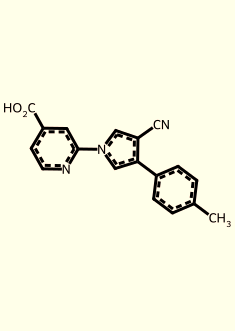 Cc1ccc(-c2cn(-c3cc(C(=O)O)ccn3)cc2C#N)cc1